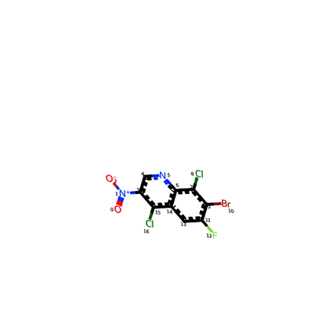 O=[N+]([O-])c1cnc2c(Cl)c(Br)c(F)cc2c1Cl